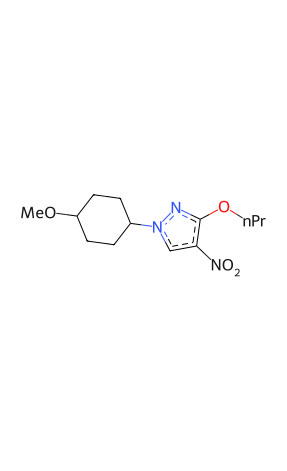 CCCOc1nn(C2CCC(OC)CC2)cc1[N+](=O)[O-]